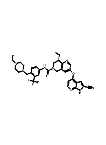 CC[C@@H]1CN(C(=O)Nc2ccc(CN3CCN(CC)CC3)c(C(F)(F)F)c2)Cc2cc(Oc3ccnc4[nH]c(C#N)cc34)cnc21